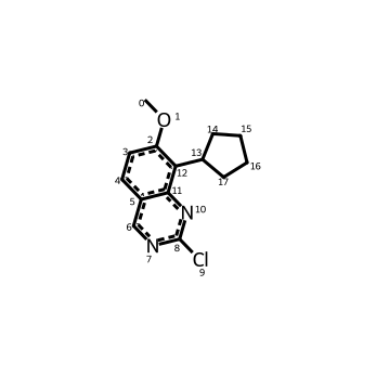 COc1ccc2cnc(Cl)nc2c1C1CCCC1